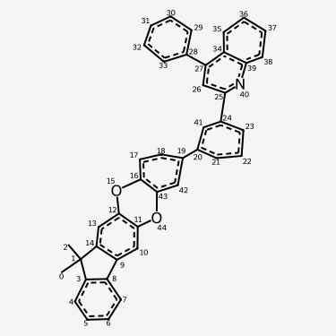 CC1(C)c2ccccc2-c2cc3c(cc21)Oc1ccc(-c2cccc(-c4cc(-c5ccccc5)c5ccccc5n4)c2)cc1O3